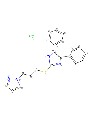 Cl.c1ccc(-c2nc(SCCCn3cccn3)[nH]c2-c2ccccc2)cc1